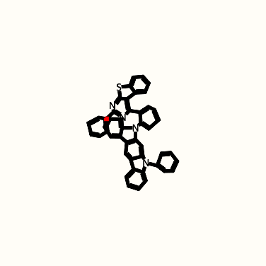 c1ccc(-c2nc(-c3ccccc3-n3c4ccccc4c4cc5c6ccccc6n(-c6ccccc6)c5cc43)c3c(n2)sc2ccccc23)cc1